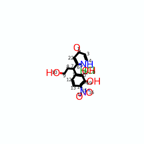 Cl.O=c1cc[nH]c(C(CCO)c2ccc([N+](=O)[O-])c(O)c2O)c1